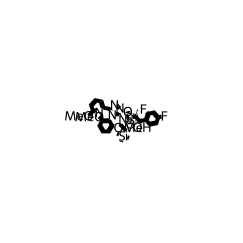 COc1cccc(-c2nnc(N(CC[Si](C)(C)C)S(=O)(=O)[C@H](C)[C@H](O)c3ccc(F)cc3F)n2-c2c(OC)cccc2OC)n1